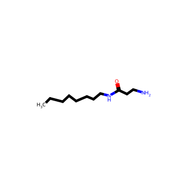 CCCCCCCCNC(=O)CCN